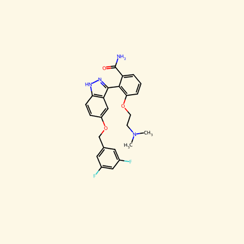 CN(C)CCOc1cccc(C(N)=O)c1-c1n[nH]c2ccc(OCc3cc(F)cc(F)c3)cc12